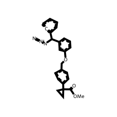 COC(=O)C1(c2ccc(COc3cccc(C(N=[N+]=[N-])c4ccccc4)c3)cc2)CC1